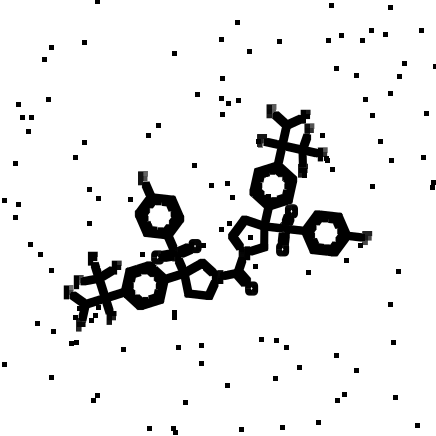 O=C(N1CCC(c2ccc(C(F)(C(F)F)C(F)(F)F)cc2)(S(=O)(=O)c2ccc(F)cc2)C1)N1CCC(c2ccc(C(F)(C(F)F)C(F)(F)F)cc2)(S(=O)(=O)c2ccc(F)cc2)C1